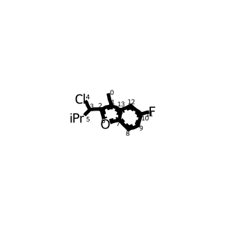 Cc1c(C(Cl)C(C)C)oc2ccc(F)cc12